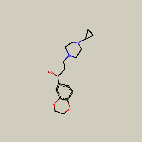 O[C@@H](CCN1CCN(C2CC2)CC1)c1ccc2c(c1)OCCO2